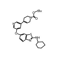 CC(C)(C)OC(=O)N1CC=C(c2cncc(Oc3ccc4nc(NC5CCCCC5)sc4c3)c2)CC1